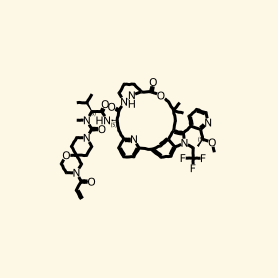 C=CC(=O)N1CCOC2(CCN(C(=O)N(C)[C@H](C(=O)N[C@H]3Cc4cccc(n4)-c4ccc5c(c4)c(c(-c4cccnc4[C@H](C)OC)n5CC(F)(F)F)CC(C)(C)COC(=O)C4CCCN(N4)C3=O)C(C)C)CC2)C1